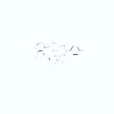 CC1(C)CCC(C(C(=O)N2CCN(c3ncnc4c3[C@H](CO)C[C@H]4O)CC2)c2ccc(Cl)cc2)N1